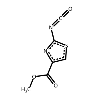 COC(=O)c1csc(N=C=O)n1